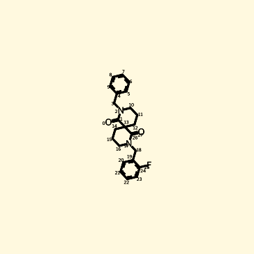 O=C1N(Cc2ccccc2)CCCC12CCCN(Cc1ccccc1F)C2=O